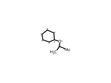 CC(=O)C(C)OC1CCCCC1